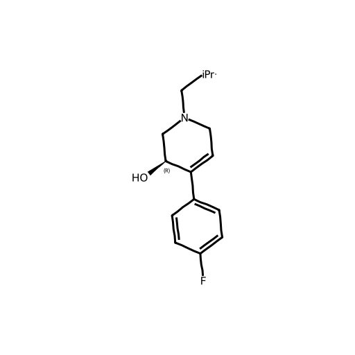 C[C](C)CN1CC=C(c2ccc(F)cc2)[C@@H](O)C1